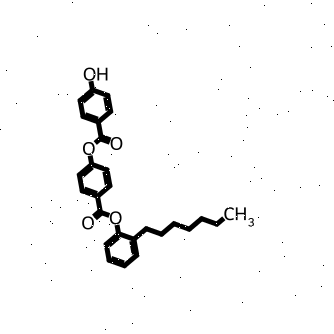 CCCCCCCc1ccccc1OC(=O)c1ccc(OC(=O)c2ccc(O)cc2)cc1